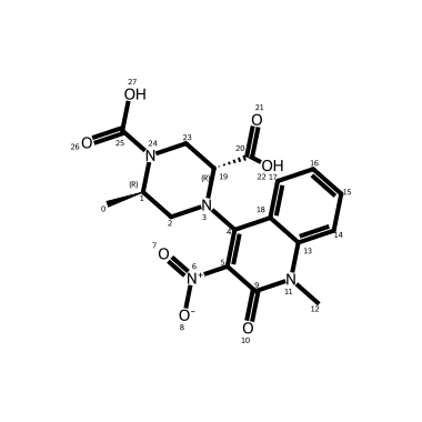 C[C@@H]1CN(c2c([N+](=O)[O-])c(=O)n(C)c3ccccc23)[C@@H](C(=O)O)CN1C(=O)O